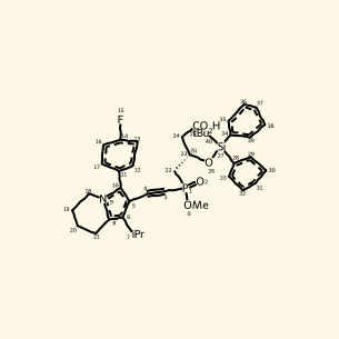 COP(=O)(C#Cc1c(C(C)C)c2n(c1-c1ccc(F)cc1)CCCC2)C[C@H](CC(=O)O)O[Si](c1ccccc1)(c1ccccc1)C(C)(C)C